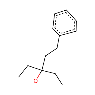 CCC([O])(CC)CCc1ccccc1